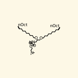 CCCCCCCC/C=C\CCCCCCCCOCC(CNS(=O)(=O)OCCN(C)C)OCCCCCCCC/C=C\CCCCCCCC